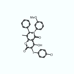 COc1cccc(-n2c(-c3ccccc3)c(C)c3oc(=O)c(Sc4ccc(Cl)cc4)c(O)c3c2=O)c1